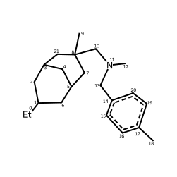 CCC1CC2CC(C1)CC(C)(CN(C)Cc1ccc(C)cc1)C2